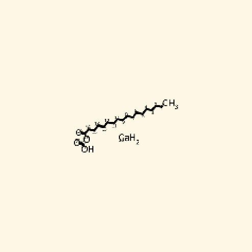 CCCCCCCCCCCCCCCCCC(=O)OC(=O)O.[CaH2]